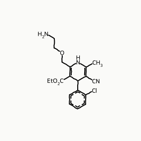 CCOC(=O)C1=C(COCCN)NC(C)=C(C#N)C1c1ccccc1Cl